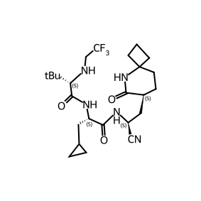 CC(C)(C)[C@H](NCC(F)(F)F)C(=O)N[C@@H](CC1CC1)C(=O)N[C@H](C#N)C[C@@H]1CCC2(CCC2)NC1=O